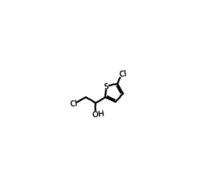 OC(CCl)c1ccc(Cl)s1